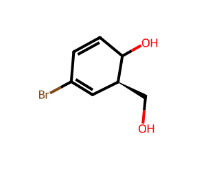 OC[C@H]1C=C(Br)C=CC1O